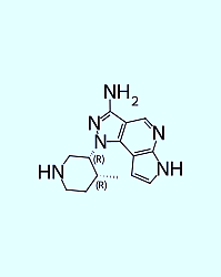 C[C@@H]1CCNC[C@@H]1n1nc(N)c2cnc3[nH]ccc3c21